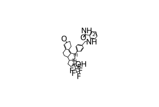 C[C@]12C[C@H](c3ccc(CNc4ccccc4C(N)=O)cc3)C3=C4CCC(=O)C=C4CCC3C1CC[C@]2(O)C(F)(F)C(F)(F)F